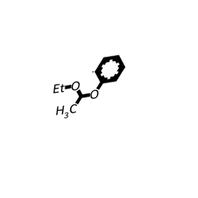 CCOC(C)Oc1[c]cccc1